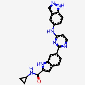 O=C(NC1CC1)c1cc2ccc(-c3nccc(Nc4ccc5[nH]ncc5c4)n3)cc2[nH]1